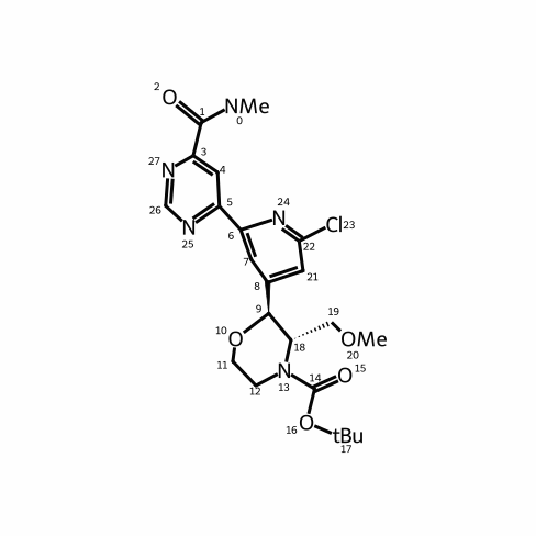 CNC(=O)c1cc(-c2cc([C@@H]3OCCN(C(=O)OC(C)(C)C)[C@H]3COC)cc(Cl)n2)ncn1